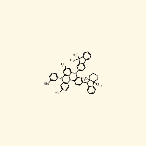 Cc1cc2c3c(c1)N(c1cccc(C(C)(C)C)c1)c1cc(C(C)(C)C)ccc1B3c1ccc(N3c4ccccc4C4(C)CCCCC34C)cc1N2c1ccc2c(c1)C(C)(C)c1ccccc1-2